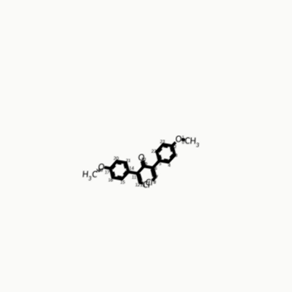 COc1ccc(/C(=C/Cl)C(=O)/C(=C\Cl)c2ccc(OC)cc2)cc1